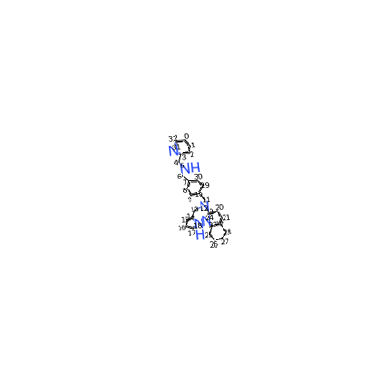 c1ccc(CNCc2ccc(CN(Cc3ccc[nH]3)c3ccc4c(n3)CCCC4)cc2)nc1